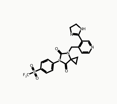 O=C1N(c2ccc(S(=O)(=O)C(F)(F)F)cc2)C(=O)C2(CC2)N1Cc1ccncc1C1=NCCN1